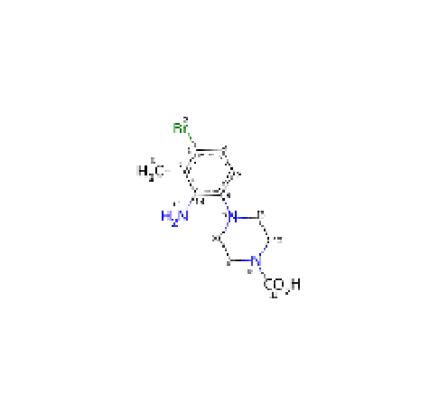 Cc1c(Br)ccc(N2CCN(C(=O)O)CC2)c1N